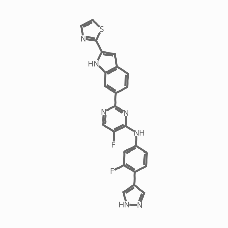 Fc1cc(Nc2nc(-c3ccc4cc(-c5nccs5)[nH]c4c3)ncc2F)ccc1-c1cn[nH]c1